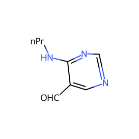 CCCNc1ncncc1C=O